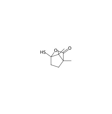 CC12CCC(S)(OC1=O)C2(C)C